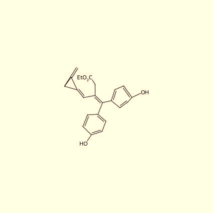 C=C1C/C1=C/C(CC(=O)OCC)=C(c1ccc(O)cc1)c1ccc(O)cc1